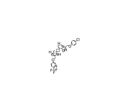 CC1(NC(=O)COc2ccc(C(F)(F)F)nc2)CC(C)(c2nc(COc3ccc(Cl)cc3)no2)C1